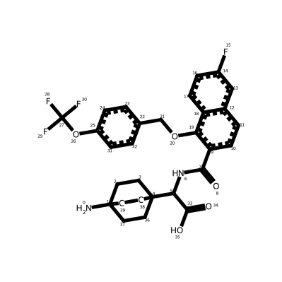 NC12CCC(C(NC(=O)c3ccc4cc(F)ccc4c3OCc3ccc(OC(F)(F)F)cc3)C(=O)O)(CC1)CC2